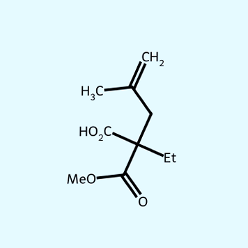 C=C(C)CC(CC)(C(=O)O)C(=O)OC